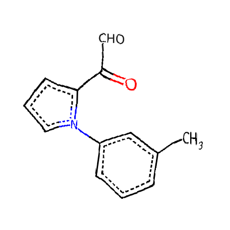 Cc1cccc(-n2cccc2C(=O)C=O)c1